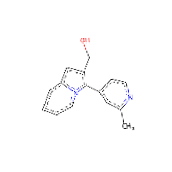 Cc1cc(-c2c(CO)cc3ccccn23)ccn1